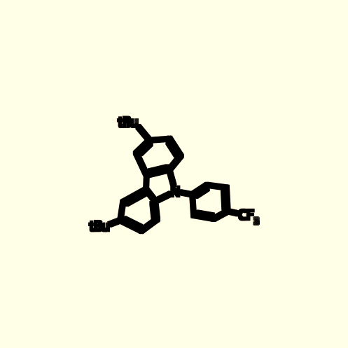 CC(C)(C)c1ccc2c(c1)c1cc(C(C)(C)C)ccc1n2-c1ccc(C(F)(F)F)cc1